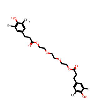 CCc1cc(CCC(=O)OCCOCCOCCOC(=O)CCc2cc(C)c(O)c(CC)c2)cc(C)c1O